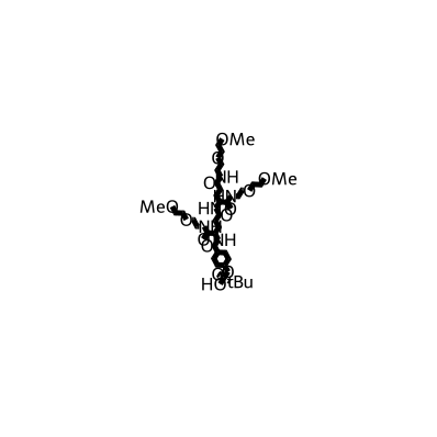 COCCOCCNC(=O)CCC(NC(=O)CCC(NC(=O)C1CCC(OP(=O)(O)C(C)(C)C)CC1)C(=O)NCCOCCOC)C(=O)NCCOCCOC